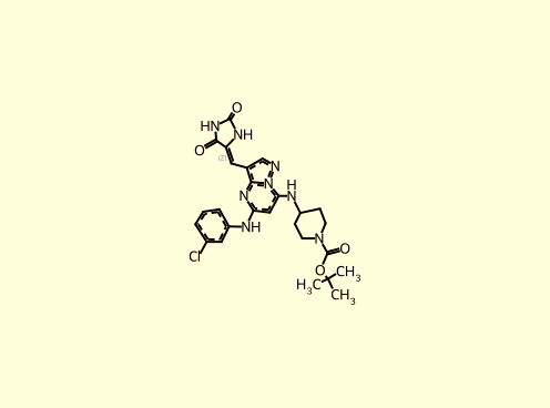 CC(C)(C)OC(=O)N1CCC(Nc2cc(Nc3cccc(Cl)c3)nc3c(/C=C4\NC(=O)NC4=O)cnn23)CC1